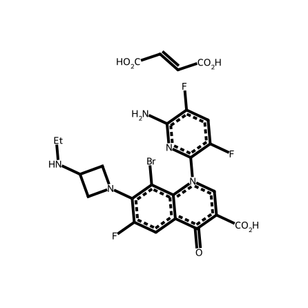 CCNC1CN(c2c(F)cc3c(=O)c(C(=O)O)cn(-c4nc(N)c(F)cc4F)c3c2Br)C1.O=C(O)C=CC(=O)O